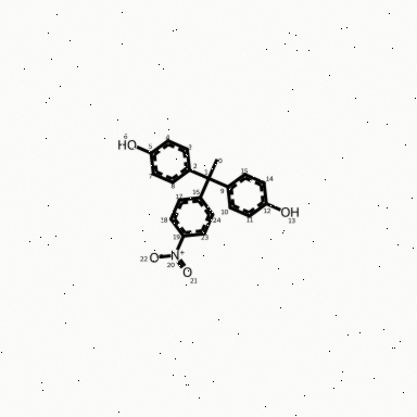 CC(c1ccc(O)cc1)(c1ccc(O)cc1)c1ccc([N+](=O)[O-])cc1